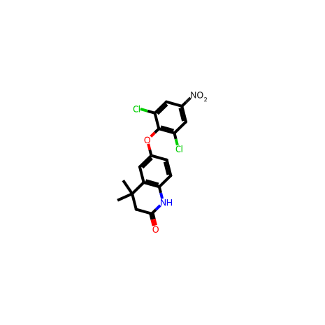 CC1(C)CC(=O)Nc2ccc(Oc3c(Cl)cc([N+](=O)[O-])cc3Cl)cc21